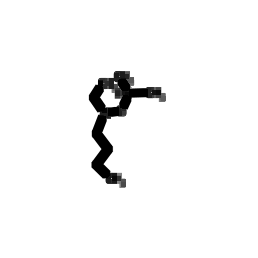 CCC[CH2][Al]([CH2]C)[O][SiH](C)C